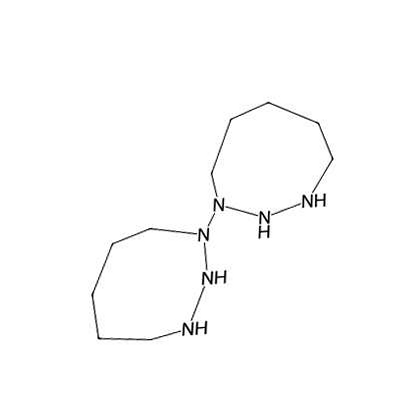 C1CCNNN(N2CCCCCNN2)CC1